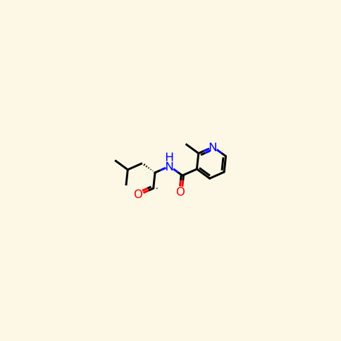 Cc1ncccc1C(=O)N[C@H]([C]=O)CC(C)C